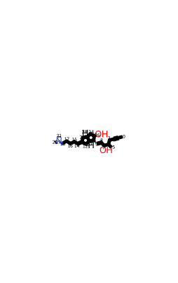 CC#CCC(C)[C@H](O)/C=C/[C@@H]1[C@H]2C/C(=C/CCCCN(C)C)C[C@H]2C[C@H]1O